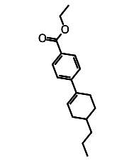 CCCC1CC=C(c2ccc(C(=O)OCC)cc2)CC1